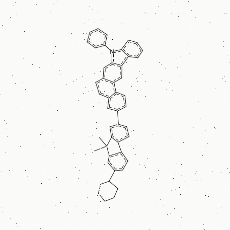 CC1(C)c2cc(-c3ccc4c(ccc5cc6c(cc54)c4ccccc4n6-c4ccccc4)c3)ccc2-c2ccc(C3CCCCC3)cc21